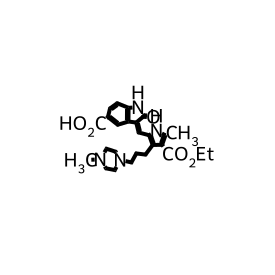 CCOC(=O)c1c(C)[nH]c(/C=C2\C(=O)Nc3ccc(C(=O)O)cc32)c1CCCN1CCN(C)CC1